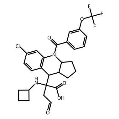 O=CCC(NC1CCC1)(C(=O)O)C1c2ccc(Cl)cc2N(C(=O)c2cccc(OC(F)(F)F)c2)C2CCCC21